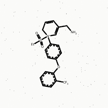 CCS(=O)(=O)[N+]1(c2ccc(Oc3ccccc3C(F)(F)F)cc2)C=C(CN)C=CC1